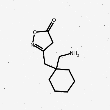 NCC1(CC2=NOC(=O)C2)CCCCC1